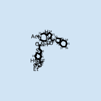 CCOP(=O)(O)C(F)(F)c1ccc2sc(C(=O)N[C@H]3CN(C(C)=O)CC[C@H]4CC[C@@H](C(=O)N5CCC6(CCCCCC6)C5)N4C3=O)cc2c1